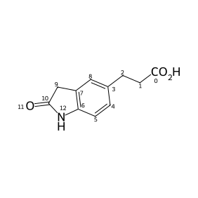 O=C(O)CCc1ccc2c(c1)CC(=O)N2